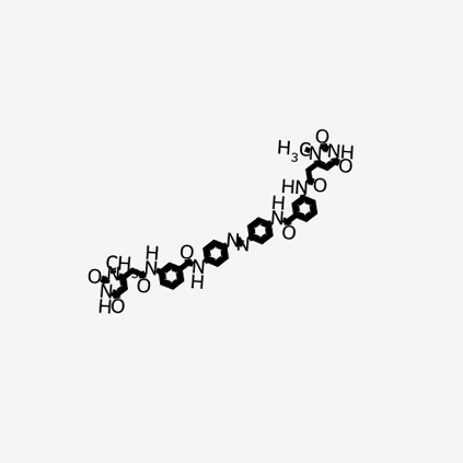 Cn1c(CC(=O)Nc2cccc(C(=O)Nc3ccc(/N=N/c4ccc(NC(=O)c5cccc(NC(=O)Cc6cc(=O)[nH]c(=O)n6C)c5)cc4)cc3)c2)cc(=O)[nH]c1=O